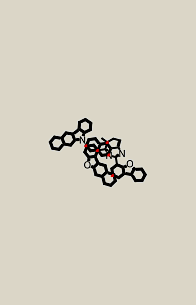 CC1C/C=C(c2ccc3ccccc3c2)/N=C(c2cccc3c2oc2ccccc23)\N=C/1c1cc(-n2c3ccccc3c3cc4ccccc4cc32)cc2oc3cc4ccccc4cc3c12